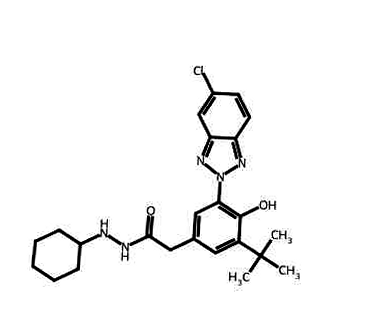 CC(C)(C)c1cc(CC(=O)NNC2CCCCC2)cc(-n2nc3ccc(Cl)cc3n2)c1O